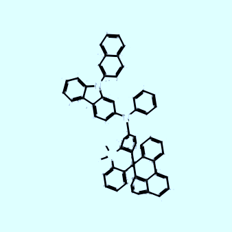 C[Si]1(C)c2ccccc2C2(c3ccccc3-c3cccc4cccc2c34)c2ccc(N(c3ccccc3)c3ccc4c5ccccc5n(-c5ccc6ccccc6c5)c4c3)cc21